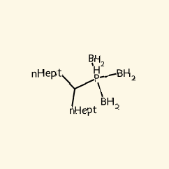 B[PH](B)(B)C(CCCCCCC)CCCCCCC